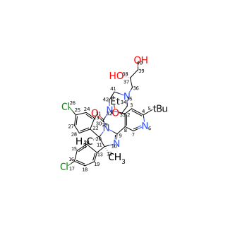 CCOc1cc(C(C)(C)C)ncc1C1=N[C@@](C)(c2ccc(Cl)cc2)[C@@](C)(c2ccc(Cl)cc2)N1C(=O)N1CCN(C[C@H](O)CO)CC1